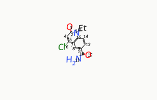 CCn1c(=O)cc(Cl)c2cc(C(N)=O)ccc21